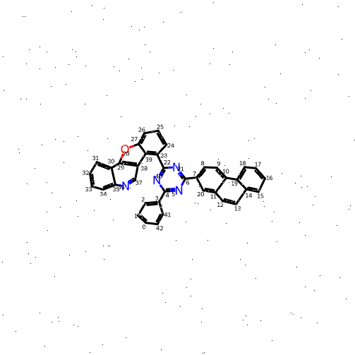 c1ccc(-c2nc(-c3ccc4c(ccc5ccccc54)c3)nc(-c3cccc4oc5c6ccccc6ncc5c34)n2)cc1